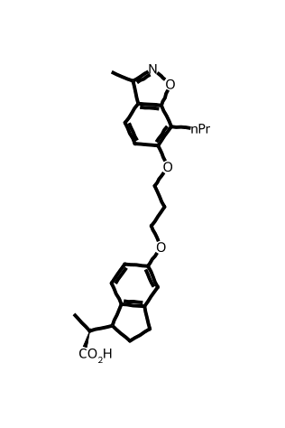 CCCc1c(OCCCOc2ccc3c(c2)CCC3[C@H](C)C(=O)O)ccc2c(C)noc12